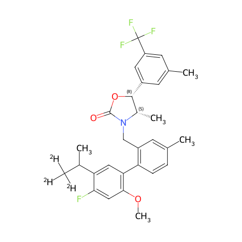 [2H]C([2H])([2H])C(C)c1cc(-c2ccc(C)cc2CN2C(=O)O[C@H](c3cc(C)cc(C(F)(F)F)c3)[C@@H]2C)c(OC)cc1F